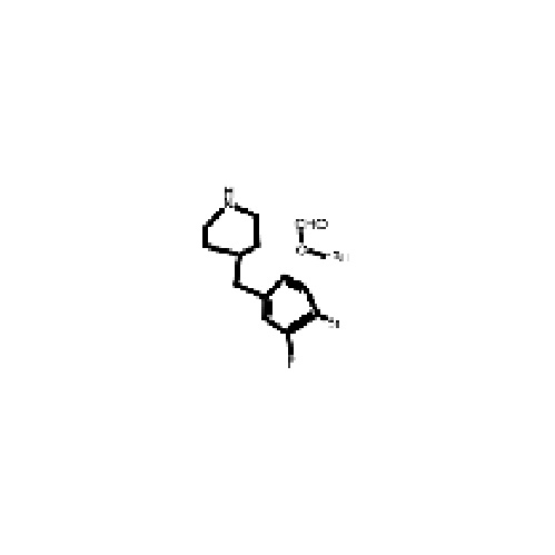 CC(C)(C)OC=O.Fc1cc(CC2CCNCC2)ccc1Br